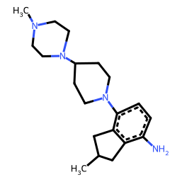 CC1Cc2c(N)ccc(N3CCC(N4CCN(C)CC4)CC3)c2C1